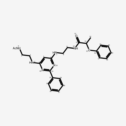 CC(=O)NCCNc1cc(NCCNC(=O)C(C)Oc2ccccc2)nc(-c2ccccc2)n1